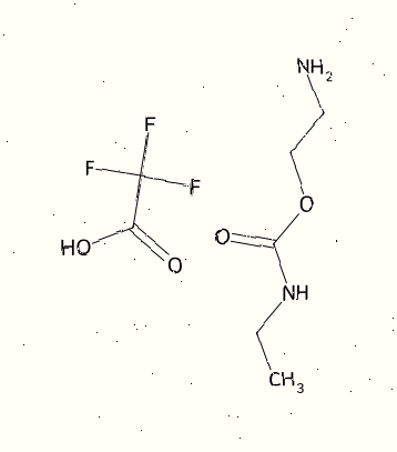 CCNC(=O)OCCN.O=C(O)C(F)(F)F